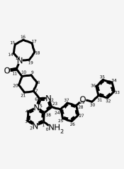 Nc1nccn2c(C3CCC(C(=O)N4CCCCCC4)CC3)nc(-c3cccc(OCc4ccccc4)c3)c12